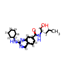 CCC[C@@H](CO)NC(=O)c1ccc2cnc(NC3CCCCC3)nc2c1